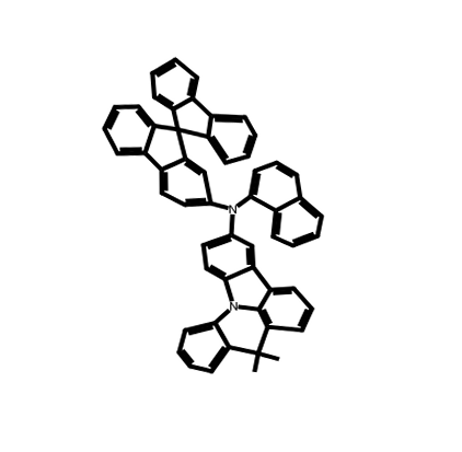 CC1(C)c2ccccc2-n2c3ccc(N(c4ccc5c(c4)C4(c6ccccc6-c6ccccc64)c4ccccc4-5)c4cccc5ccccc45)cc3c3cccc1c32